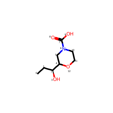 CC[C@H](O)C1CN(C(=O)O)CCO1